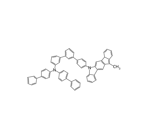 CC1=C2C=CC=CC2c2cc3c(cc21)c1ccccc1n3-c1ccc(-c2cccc(-c3cccc(N(c4ccc(-c5ccccc5)cc4)c4ccc(-c5ccccc5)cc4)c3)c2)cc1